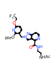 COc1nc(OCC(F)(F)F)ccc1Cn1cc2c(C(=O)NCCNC(C)=O)nccc2n1